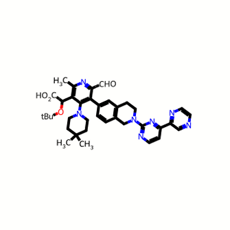 Cc1nc(C=O)c(-c2ccc3c(c2)CCN(c2nccc(-c4cnccn4)n2)C3)c(N2CCC(C)(C)CC2)c1C(OC(C)(C)C)C(=O)O